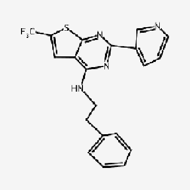 FC(F)(F)c1cc2c(NCCc3ccccc3)nc(-c3cccnc3)nc2s1